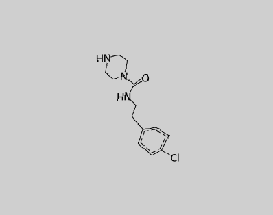 O=C(NCCc1ccc(Cl)cc1)N1CCNCC1